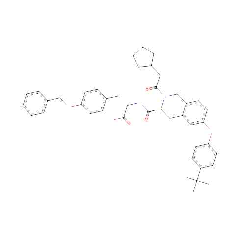 CC(C)(C)c1ccc(Oc2ccc3c(c2)C[C@@H](C(=O)N[C@@H](Cc2ccc(OCc4ccccc4)cc2)C(=O)O)N(C(=O)CC2CCCC2)C3)cc1